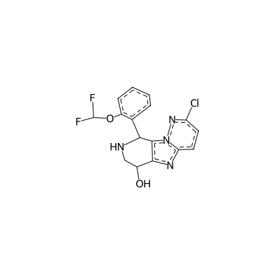 OC1CNC(c2ccccc2OC(F)F)c2c1nc1ccc(Cl)nn21